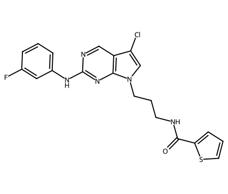 O=C(NCCCn1cc(Cl)c2cnc(Nc3cccc(F)c3)nc21)c1cccs1